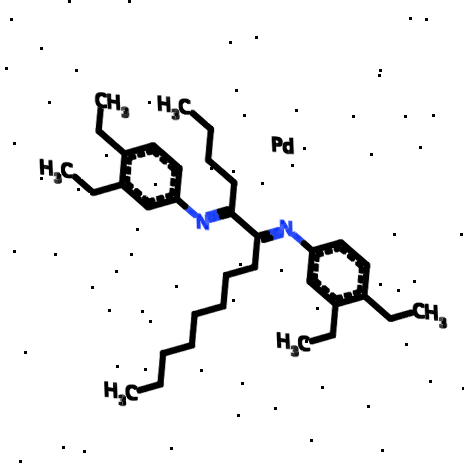 CCCCCCCCC(=Nc1ccc(CC)c(CC)c1)C(CCCC)=Nc1ccc(CC)c(CC)c1.[Pd]